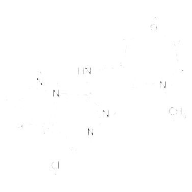 CN1CCOCC(Nc2nnc(Cl)c3ccnn23)C1